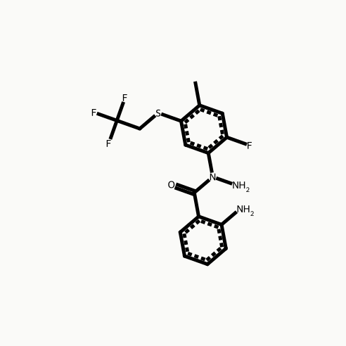 Cc1cc(F)c(N(N)C(=O)c2ccccc2N)cc1SCC(F)(F)F